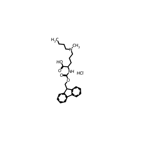 CCCCN(C)CCCC(NC(=O)OCC1c2ccccc2-c2ccccc21)C(=O)O.Cl